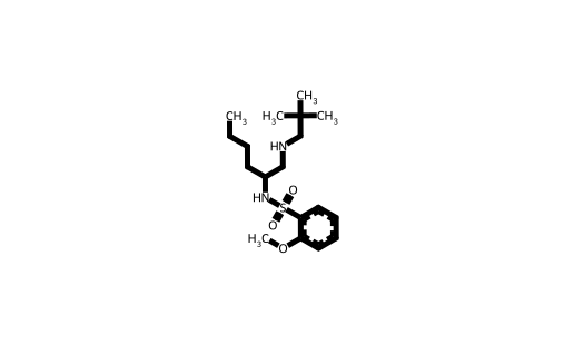 CCCCC(CNCC(C)(C)C)NS(=O)(=O)c1ccccc1OC